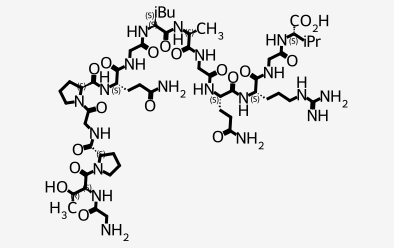 CC[C@H](C)[C@H](NC(=O)CNC(=O)[C@H](CCC(N)=O)NC(=O)[C@@H]1CCCN1C(=O)CNC(=O)[C@@H]1CCCN1C(=O)[C@@H](NC(=O)CN)[C@@H](C)O)C(=O)N[C@@H](C)C(=O)NCC(=O)N[C@@H](CCC(N)=O)C(=O)N[C@@H](CCCNC(=N)N)C(=O)NCC(=O)N[C@H](C(=O)O)C(C)C